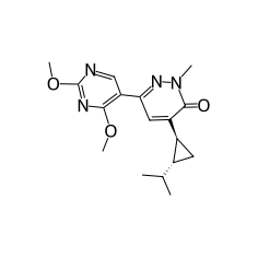 COc1ncc(-c2cc([C@H]3C[C@@H]3C(C)C)c(=O)n(C)n2)c(OC)n1